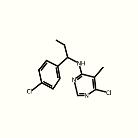 CCC(Nc1ncnc(Cl)c1C)c1ccc(Cl)cc1